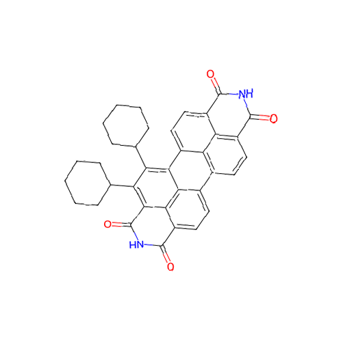 O=C1NC(=O)c2ccc3c4c(C5CCCCC5)c(C5CCCCC5)c5c6c(ccc(c7ccc1c2c73)c64)C(=O)NC5=O